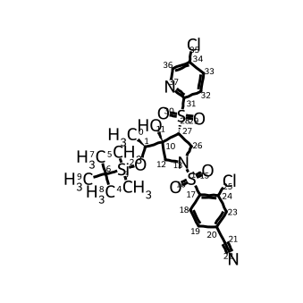 C[C@H](O[Si](C)(C)C(C)(C)C)[C@@]1(O)CN(S(=O)(=O)c2ccc(C#N)cc2Cl)C[C@H]1S(=O)(=O)c1ccc(Cl)cn1